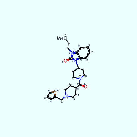 COCCn1c(=O)n(C2CCN(C(=O)C3CCN(Cc4cccs4)CC3)CC2)c2ccccc21